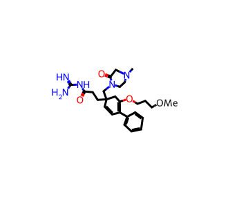 COCCCOC1=C(c2ccccc2)C=CC(CCC(=O)NC(=N)N)(CN2CCN(C)CC2=O)C1